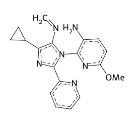 C=Nc1c(C2CC2)nc(-c2ccccn2)n1-c1nc(OC)ccc1N